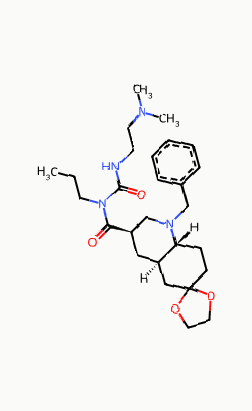 CCCN(C(=O)NCCN(C)C)C(=O)[C@@H]1C[C@@H]2CC3(CC[C@H]2N(Cc2ccccc2)C1)OCCO3